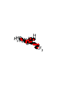 CC1(O)CCC(CNc2ccc(S(=O)(=O)NC(=O)c3ccc(N4CCC5(CC4)CC(N4CCC[C@H]4c4ccccc4C(F)(F)F)C5)cc3N3c4cc5cc[nH]c5nc4O[C@H]4COC[C@@H]43)cc2[N+](=O)[O-])CC1